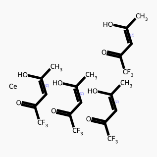 C/C(O)=C/C(=O)C(F)(F)F.C/C(O)=C/C(=O)C(F)(F)F.C/C(O)=C/C(=O)C(F)(F)F.C/C(O)=C/C(=O)C(F)(F)F.[Ce]